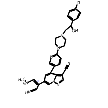 CN/C=C(\C=N)c1cc(-c2ccc(N3CCN(CC(O)c4ccc(Cl)cc4)CC3)nc2)c2c(C#N)cnn2c1